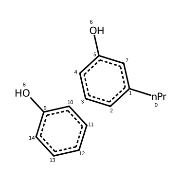 CCCc1cccc(O)c1.Oc1ccccc1